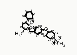 C[C@H]1CC[C@@H](c2ccccc2)S(=O)(=O)N1Cc1ccc(OC2CCN(S(C)(=O)=O)CC2)nc1